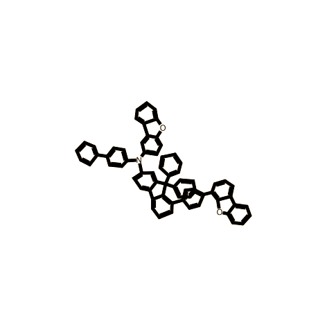 c1ccc(-c2ccc(N(c3ccc4c(c3)C(c3ccccc3)(c3ccccc3)c3c(-c5ccc(-c6cccc7c6oc6ccccc67)cc5)cccc3-4)c3ccc4oc5ccccc5c4c3)cc2)cc1